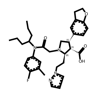 CCCC(CCC)N(C(=O)CN1C[C@H](c2ccc3c(c2)CCO3)[C@H](C(=O)O)[C@H]1CCn1cccn1)c1ccc(F)c(C)c1